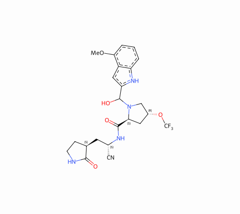 COc1cccc2[nH]c(C(O)N3C[C@H](OC(F)(F)F)C[C@H]3C(=O)N[C@H](C#N)C[C@@H]3CCNC3=O)cc12